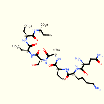 CC[C@H](C)[C@H](NC(=O)[C@H](CC(C)C)NC(=O)[C@H](CCCCN)NC(=O)[C@@H](N)CCC(N)=O)C(=O)N[C@@H](CO)C(=O)N[C@@H](CC(=O)O)C(=O)N[C@@H](CC(=O)O)C(=O)N[C@@H](CC(C)C)C(=O)O